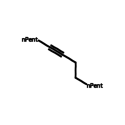 [CH2]CCCCC#CCCCCCC[CH2]